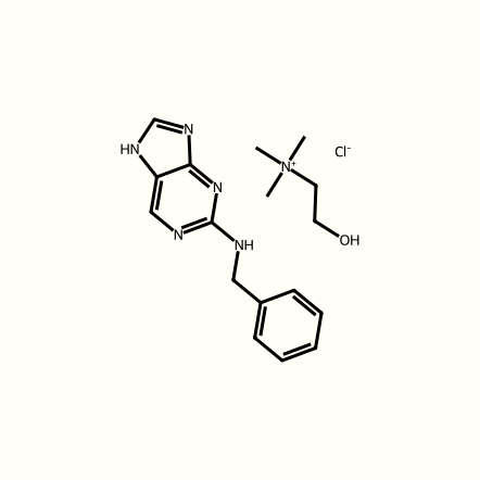 C[N+](C)(C)CCO.[Cl-].c1ccc(CNc2ncc3[nH]cnc3n2)cc1